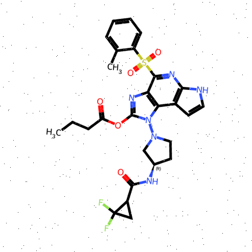 CCCC(=O)Oc1nc2c(S(=O)(=O)c3ccccc3C)nc3[nH]ccc3c2n1N1CC[C@@H](NC(=O)C2CC2(F)F)C1